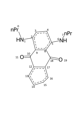 CCCNc1ccc(NCCC)c2c1C(=O)c1ccccc1C2=O